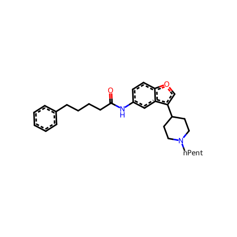 CCCCCN1CCC(c2coc3ccc(NC(=O)CCCCc4ccccc4)cc23)CC1